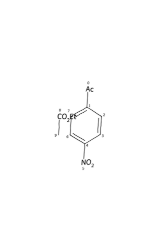 CC(=O)c1ccc([N+](=O)[O-])cc1.CCOC(C)=O